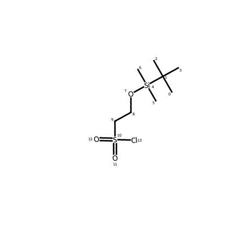 CC(C)(C)[Si](C)(C)OCCS(=O)(=O)Cl